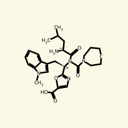 CC(C)C[C@H](N)C(=O)N(C(=O)N1CCCCCC1)[C@H](Cc1cn(C)c2ccccc12)c1ncc(C(=O)O)o1